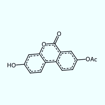 CC(=O)Oc1ccc2c(c1)c(=O)oc1cc(O)ccc12